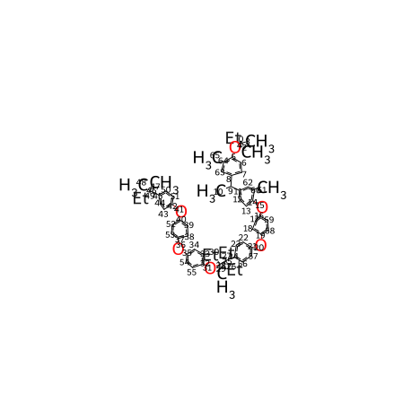 CCC(C)(C)Oc1ccc(C(C)c2ccc(Oc3ccc(Oc4ccc(C(CC)(CC)C(C)(CC)Oc5ccc(Oc6ccc(Oc7ccc(C(C)(C)CC)cc7)cc6)cc5)cc4)cc3)c(C)c2)cc1C